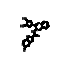 O=C(N[C@@H](Cc1ccccc1)C(=O)N1CC(O)C(O)C1)c1cc2cc(Cl)ncc2[nH]1